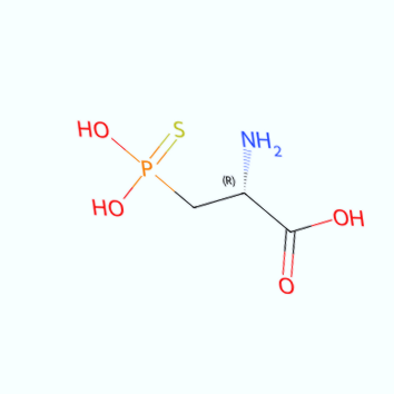 N[C@@H](CP(O)(O)=S)C(=O)O